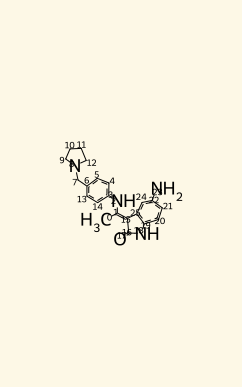 CC(Nc1ccc(CN2CCCC2)cc1)=C1C(=O)Nc2ccc(N)cc21